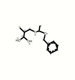 CC(OCc1ccccc1)OCC(C)C(O)O